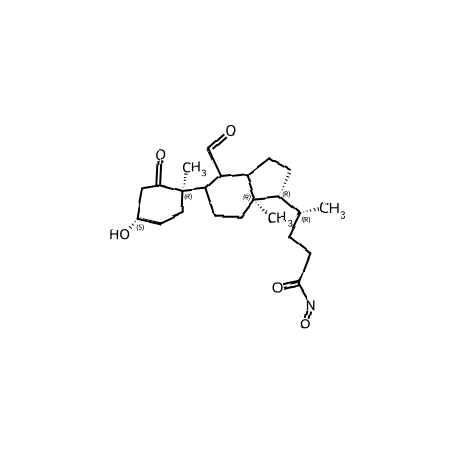 C[C@H](CCC(=O)N=O)[C@H]1CCC2C(C=O)C([C@@]3(C)CC[C@H](O)CC3=O)CC[C@@]21C